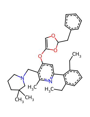 CCc1cccc(CC)c1-c1cc(OC2=COC(Cc3ccccc3)O2)c(CN2CCCC(C)(C)C2)c(C)n1